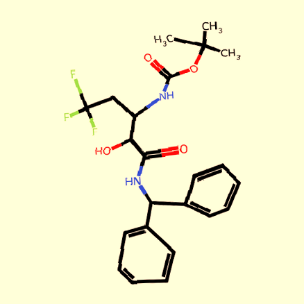 CC(C)(C)OC(=O)NC(CC(F)(F)F)C(O)C(=O)NC(c1ccccc1)c1ccccc1